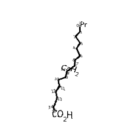 CC(C)CCCCCCCCCCCCCCC(=O)O.[CaH2]